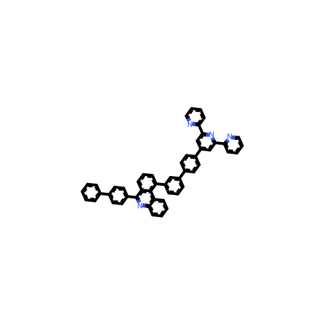 c1ccc(-c2ccc(-c3nc4ccccc4c4c(-c5cccc(-c6ccc(-c7cc(-c8ccccn8)nc(-c8ccccn8)c7)cc6)c5)cccc34)cc2)cc1